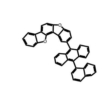 c1ccc2c(-c3c4ccccc4c(-c4ccc5oc6ccc7c8ccccc8oc7c6c5c4)c4ccccc34)cccc2c1